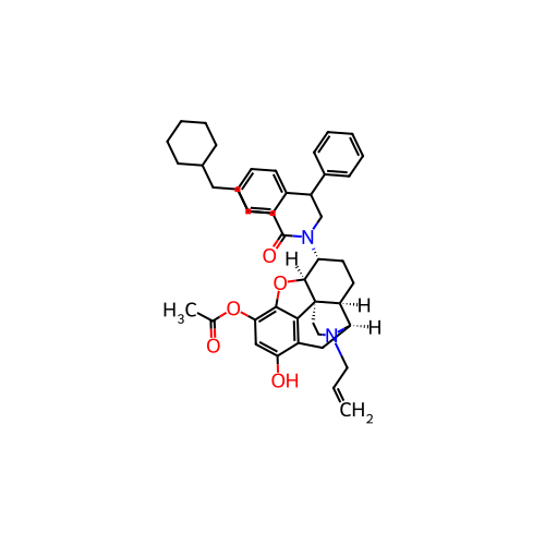 C=CCN1CC[C@]23c4c5c(O)cc(OC(C)=O)c4O[C@H]2[C@H](N(CC(c2ccccc2)c2ccccc2)C(=O)CCCCC2CCCCC2)CC[C@H]3[C@H]1C5